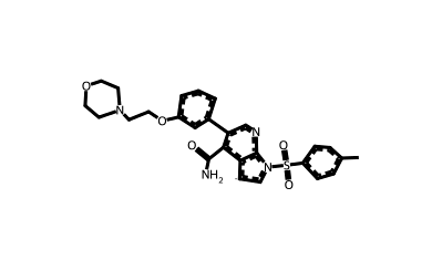 Cc1ccc(S(=O)(=O)n2c[c]c3c(C(N)=O)c(-c4cccc(OCCN5CCOCC5)c4)cnc32)cc1